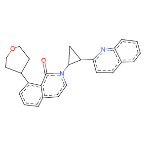 O=c1c2c(C3CCOCC3)cccc2ccn1C1CC1c1ccc2ccccc2n1